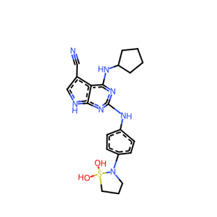 N#Cc1c[nH]c2nc(Nc3ccc(N4CCCS4(O)O)cc3)nc(NC3CCCC3)c12